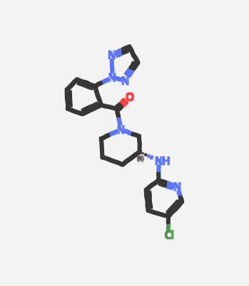 O=C(c1ccccc1-n1nccn1)N1CCC[C@@H](Nc2ccc(Cl)cn2)C1